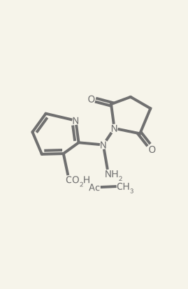 CC(C)=O.NN(c1ncccc1C(=O)O)N1C(=O)CCC1=O